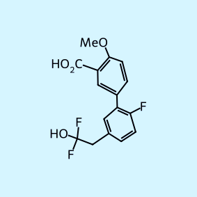 COc1ccc(-c2cc(CC(O)(F)F)ccc2F)cc1C(=O)O